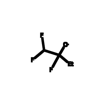 CCC([O])(F)C(F)F